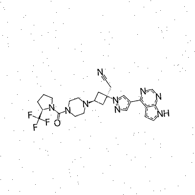 N#CC[C@]1(n2cc(-c3ncnc4[nH]ccc34)cn2)C[C@@H](N2CCN(C(=O)N3CCC[C@@H]3C(F)(F)F)CC2)C1